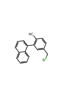 N#Cc1ccc(CBr)cc1-c1cccc2ccccc12